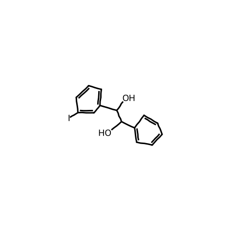 OC(c1ccccc1)C(O)c1cccc(I)c1